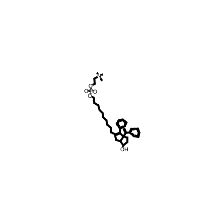 C=C(c1ccccc1)C12CCC(O)C1CC(CCCCCCCCCCOP(=O)([O-])OCC[N+](C)(C)C)=C2c1ccccc1